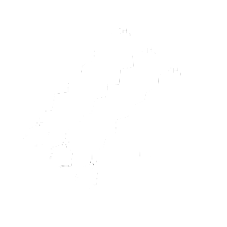 CCCCCCCCCCCC[n+]1ccccc1.CCCCCCCCCCCC[n+]1ccccc1.CCCCCCCCCCCC[n+]1ccccc1.[I-].[I-].[I-]